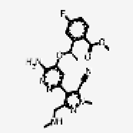 CNCc1nn(C)c(C#N)c1-c1cc(O[C@H](C)c2cc(F)ccc2C(=O)OC)c(N)nn1